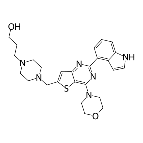 OCCCN1CCN(Cc2cc3nc(-c4cccc5[nH]ccc45)nc(N4CCOCC4)c3s2)CC1